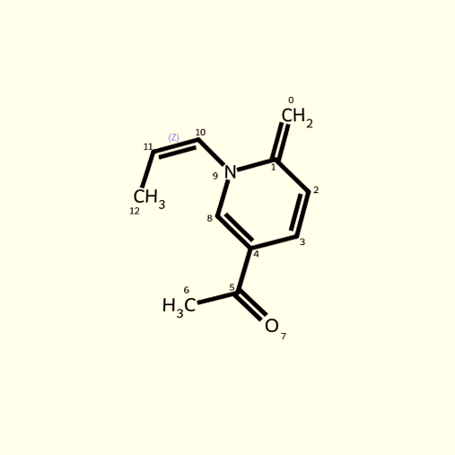 C=C1C=CC(C(C)=O)=CN1/C=C\C